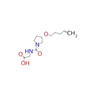 C=CCCCO[C@H]1CCN(C(=O)NCC(=O)O)C1